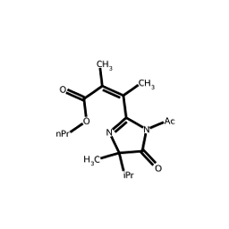 CCCOC(=O)C(C)=C(C)C1=NC(C)(C(C)C)C(=O)N1C(C)=O